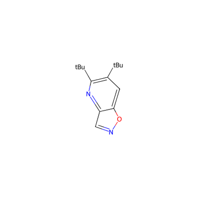 CC(C)(C)c1cc2oncc2nc1C(C)(C)C